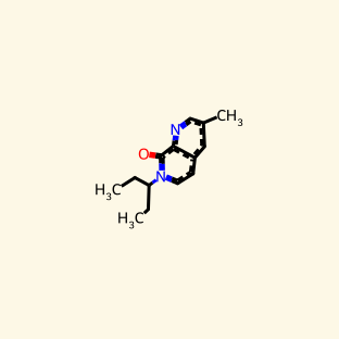 CCC(CC)n1ccc2cc(C)cnc2c1=O